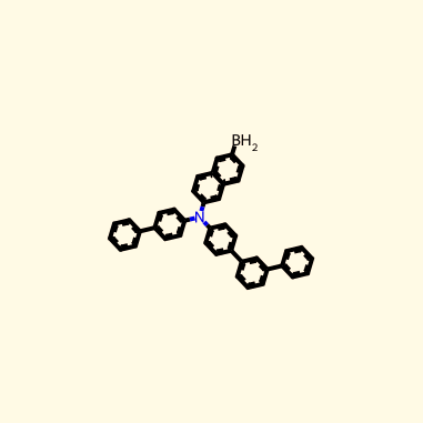 Bc1ccc2cc(N(c3ccc(-c4ccccc4)cc3)c3ccc(-c4cccc(-c5ccccc5)c4)cc3)ccc2c1